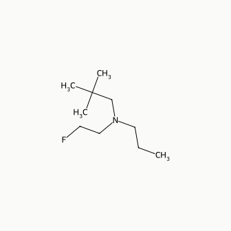 CCCN(CCF)CC(C)(C)C